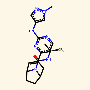 C[C@H](NC(=O)N1C2C=C(c3ccnc(Nc4cnn(C)c4)n3)CC1CC2)C(F)(F)F